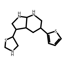 c1csc(C2CNC3NCC(C4CNCS4)C3C2)c1